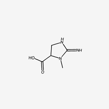 CN1C(=N)NCC1C(=O)O